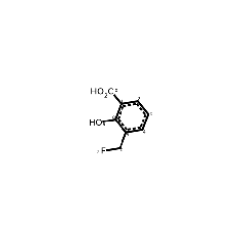 O=C(O)c1cccc(CF)c1O